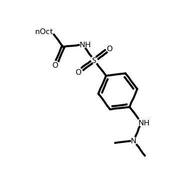 CCCCCCCCC(=O)NS(=O)(=O)c1ccc(NN(C)C)cc1